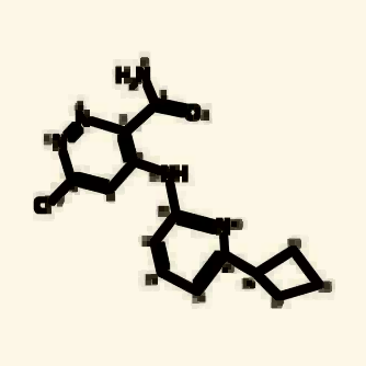 NC(=O)c1nnc(Cl)cc1Nc1cccc(C2CCC2)n1